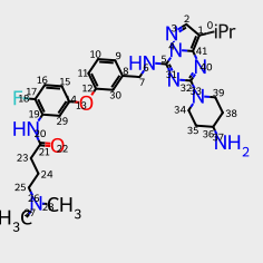 CC(C)c1cnn2c(NCc3cccc(Oc4ccc(F)c(NC(=O)CCCN(C)C)c4)c3)nc(N3CCC(N)CC3)nc12